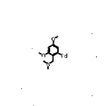 COc1c[c]([Pd])c(CN(C)C)c(OC)c1